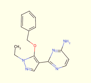 CCn1ncc(-c2nccc(N)n2)c1OCc1ccccc1